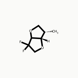 C[C@H]1COC2[C@H]1OCC2(F)F